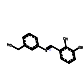 OCc1cccc(/N=C/c2cccc(O)c2O)c1